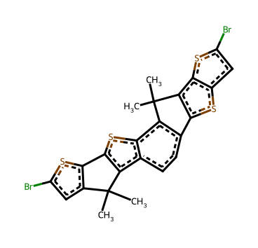 CC1(C)c2cc(Br)sc2-c2sc3c4c(ccc3c21)-c1sc2cc(Br)sc2c1C4(C)C